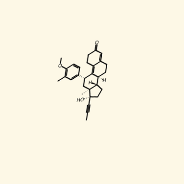 CC#C[C@]1(O)CC[C@H]2[C@@H]3CCC4=CC(=O)CCC4=C3[C@@H](c3ccc(OC)c(C)c3)C[C@@]21C